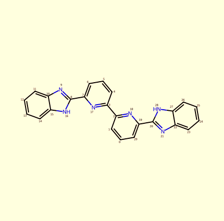 c1cc(-c2cccc(-c3nc4ccccc4[nH]3)n2)nc(-c2nc3ccccc3[nH]2)c1